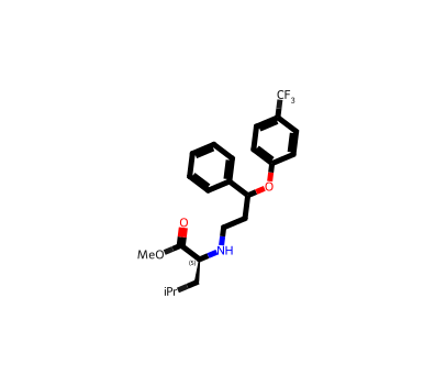 COC(=O)[C@H](CC(C)C)NCCC(Oc1ccc(C(F)(F)F)cc1)c1ccccc1